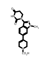 Cn1nc(N2CCC(=O)NC2=O)c2ccc(C3=CCN(C(=O)O)CC3)cc21